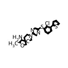 C[C@@H]1OCC2(CCN(c3cnc(Sc4cccc(-c5cccs5)c4Cl)cn3)CC2)[C@@H]1N